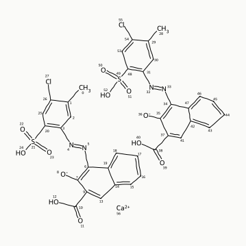 Cc1cc(N=Nc2c([O-])c(C(=O)O)cc3ccccc23)c(S(=O)(=O)O)cc1Cl.Cc1cc(N=Nc2c([O-])c(C(=O)O)cc3ccccc23)c(S(=O)(=O)O)cc1Cl.[Ca+2]